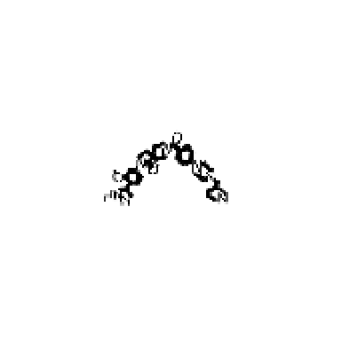 COc1cc(N2CCC3(CCN(C(=O)c4ccc(N5CCN(Cc6cccnc6)CC5)cc4)CC3)C2=O)ccc1-c1cn[nH]c1